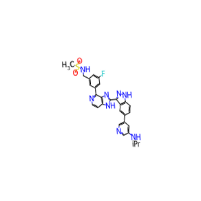 CC(C)Nc1cncc(-c2ccc3[nH]nc(-c4nc5c(-c6cc(F)cc(CNS(C)(=O)=O)c6)nccc5[nH]4)c3c2)c1